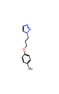 CC(C)(C)c1ccc(OCCCn2ccnn2)cc1